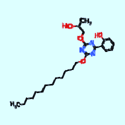 CCCCCCCCCCCCCOc1nc(OCC(C)O)nc(-c2ccccc2O)n1